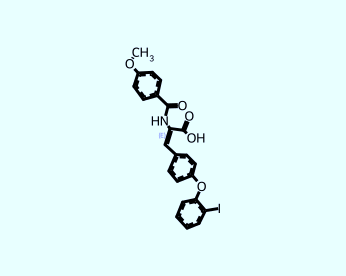 COc1ccc(C(=O)N/C(=C/c2ccc(Oc3ccccc3I)cc2)C(=O)O)cc1